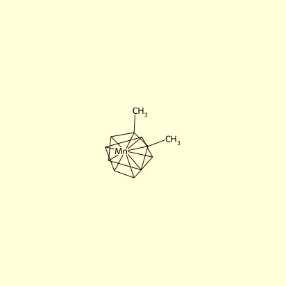 C[C]12[CH]3[CH]4[CH]5[C]1(C)[Mn]43521678[CH]2[CH]1[CH]6[CH]7[CH]28